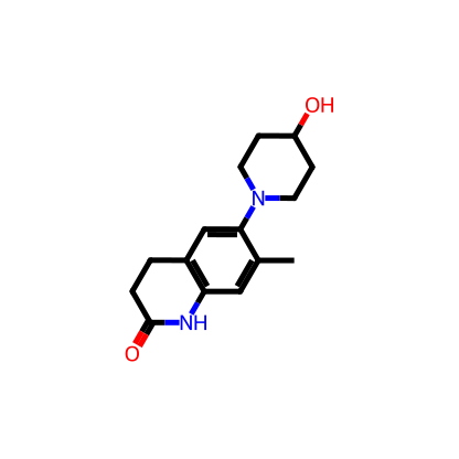 Cc1cc2c(cc1N1CCC(O)CC1)CCC(=O)N2